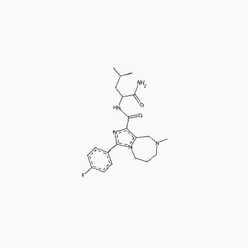 CC(C)CC(NC(=O)c1nc(-c2ccc(F)cc2)n2c1CN(C)CCC2)C(N)=O